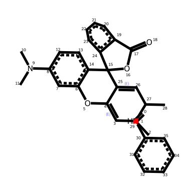 C=C(C)/C=C1/Oc2cc(N(C)C)ccc2C2(OC(=O)c3ccccc32)/C1=C/C(C)Nc1ccccc1